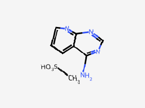 CS(=O)(=O)O.Nc1ncnc2ncccc12